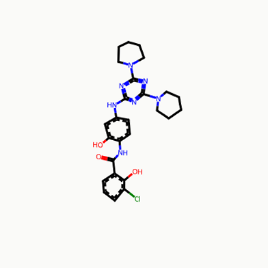 O=C(Nc1ccc(Nc2nc(N3CCCCC3)nc(N3CCCCC3)n2)cc1O)c1cccc(Cl)c1O